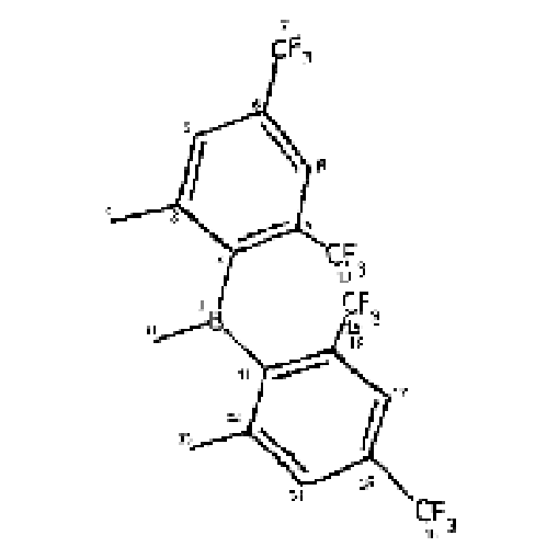 CB(c1c(C)cc(C(F)(F)F)cc1C(F)(F)F)c1c(C)cc(C(F)(F)F)cc1C(F)(F)F